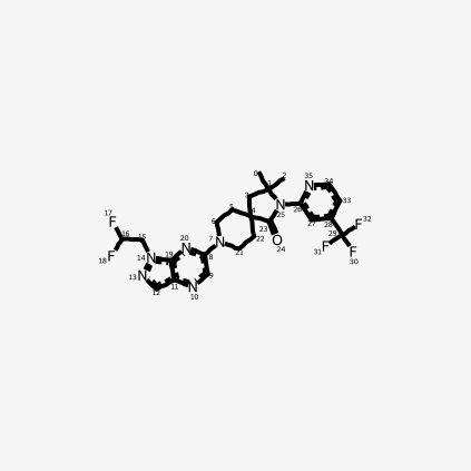 CC1(C)CC2(CCN(c3cnc4cnn(CC(F)F)c4n3)CC2)C(=O)N1c1cc(C(F)(F)F)ccn1